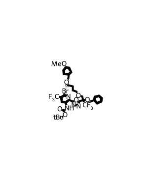 COc1ccc(CO[C@@H](C)CCCOCC(OCc2ccccc2)(c2nnc(-c3nc(Br)c(C(F)(F)F)cc3NC(=O)OC(C)(C)C)o2)C(F)(F)F)cc1